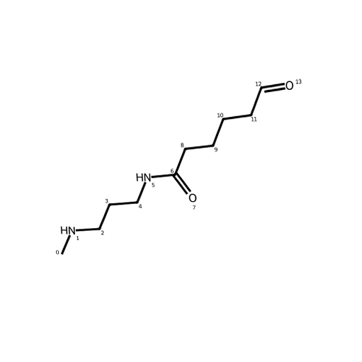 CNCCCNC(=O)CCCCC=O